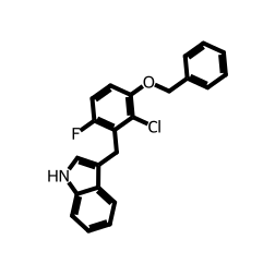 Fc1ccc(OCc2ccccc2)c(Cl)c1Cc1c[nH]c2ccccc12